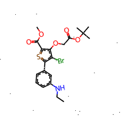 CCNc1cccc(-c2sc(C(=O)OC)c(OCC(=O)OC(C)(C)C)c2Br)c1